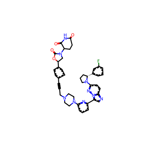 O=C1CCC(N2CC(c3ccc(C#CCN4CCN(c5cccc(-c6cnc7ccc(N8CCC[C@@H]8c8cccc(F)c8)nn67)n5)CC4)cc3)OC2=O)C(=O)N1